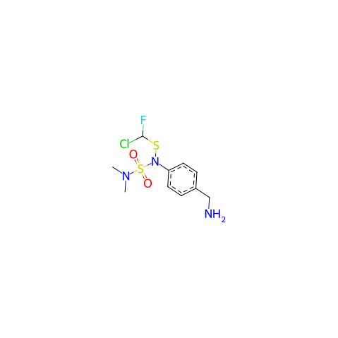 CN(C)S(=O)(=O)N(SC(F)Cl)c1ccc(CN)cc1